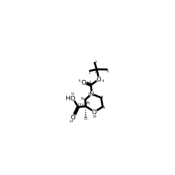 CC(C)(C)OC(=O)N1CCO[C@@](C)(C(=O)O)C1